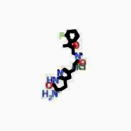 Cc1c(CN(C)C(=O)/C=C/c2cnc3c(c2)CC[C@H](N)C(=O)N3)oc2cccc(F)c12.Cl